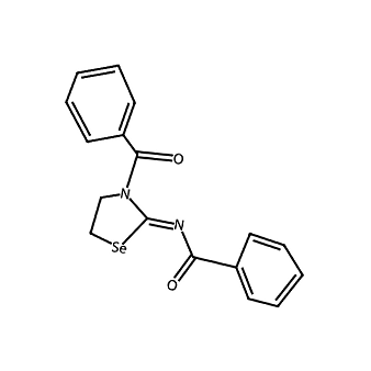 O=C(N=C1[Se]CCN1C(=O)c1ccccc1)c1ccccc1